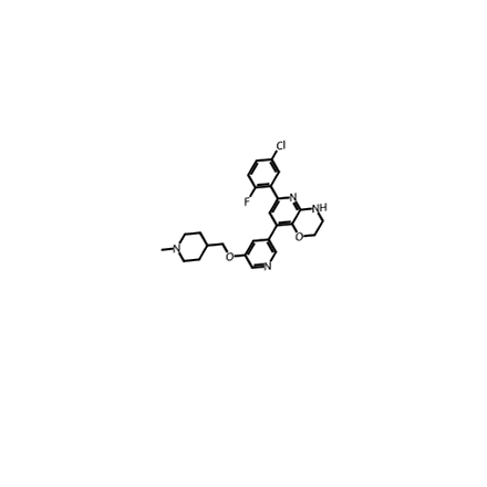 CN1CCC(COc2cncc(-c3cc(-c4cc(Cl)ccc4F)nc4c3OCCN4)c2)CC1